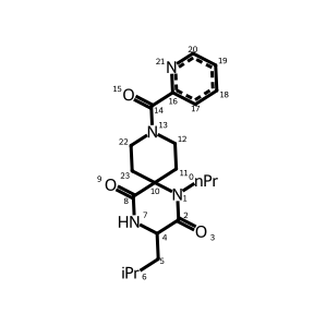 CCCN1C(=O)C(CC(C)C)NC(=O)C12CCN(C(=O)c1ccccn1)CC2